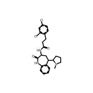 CN1CCCC1C1CC(NC(=O)CCc2ccc(Cl)cc2Cl)C(=O)Nc2ccccc21